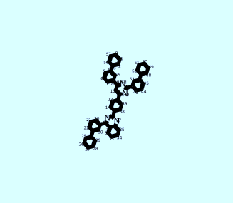 c1ccc(-c2cccc(-c3cc(-c4ccc(-c5nc(-c6cccc(-c7ccccc7)c6)c6ccccc6n5)cc4)nc(-c4cccc(-c5ccccc5)c4)n3)c2)cc1